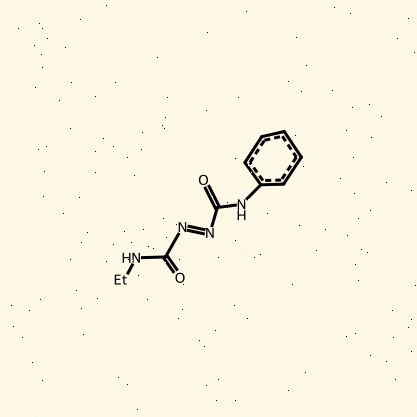 CCNC(=O)N=NC(=O)Nc1ccccc1